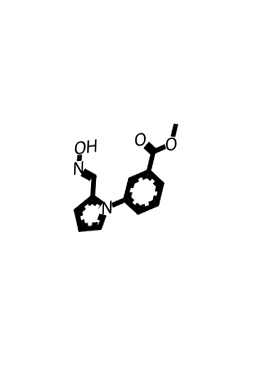 COC(=O)c1cccc(-n2cccc2/C=N/O)c1